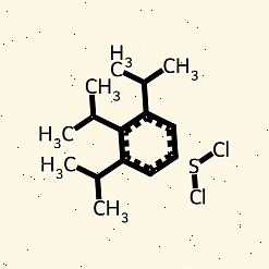 CC(C)c1cccc(C(C)C)c1C(C)C.ClSCl